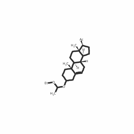 CCOC(C)OC1CC[C@@]2(C)C(=CC[C@H]3[C@@H]4CC[C@H](C(C)=O)[C@@]4(C)CC[C@@H]32)C1